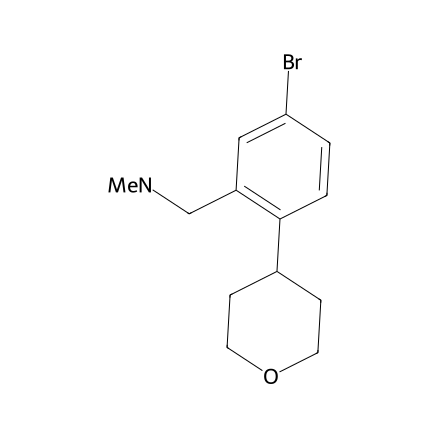 CNCc1cc(Br)ccc1C1CCOCC1